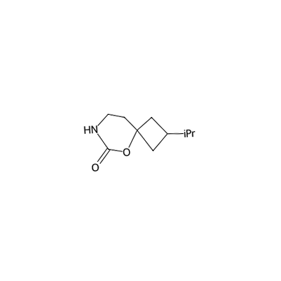 CC(C)C1CC2(CCNC(=O)O2)C1